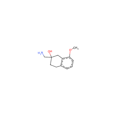 COc1cccc2c1CC(O)(CN)CC2